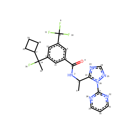 CC(NC(=O)c1cc(C(F)(F)F)cc(C(C)(F)C2CCC2)c1)c1ncnn1-c1ncccn1